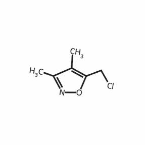 Cc1noc(CCl)c1C